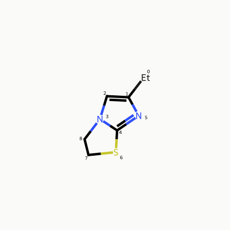 CCc1cn2c(n1)SCC2